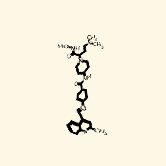 Cc1cc(COc2ccc(C(=O)NC3CCN(C(CCN(C)C)C(=O)NO)CC3)cc2)c2ccccc2n1